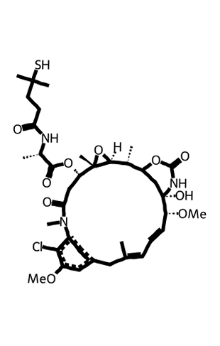 COc1cc2cc(c1Cl)N(C)C(=O)C[C@H](OC(=O)[C@H](C)NC(=O)CCC(C)(C)S)[C@]1(C)O[C@H]1[C@H](C)C1C[C@@](O)(NC(=O)O1)[C@H](OC)/C=C/C=C(\C)C2